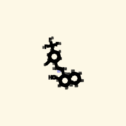 Cc1cc(C(F)(F)F)ccc1/N=N/c1c(O)ccc2ccccc12